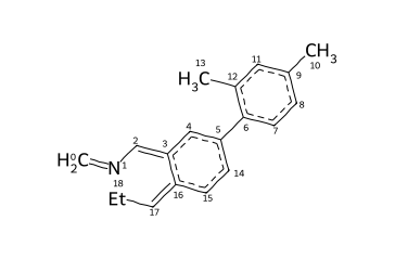 C=N/C=c1/cc(-c2ccc(C)cc2C)cc/c1=C/CC